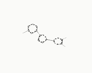 CCOC(=O)c1sc(-c2ccc(-c3cccc(Cl)c3)s2)nc1C